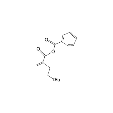 C=C(CCC(C)(C)C)C(=O)OC(=O)c1ccccc1